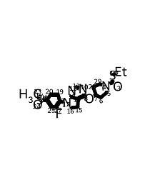 CCSC(=O)N1CCC(Oc2ncnc3c2CCN3c2ccc([S@@+](C)[O-])cc2F)CC1